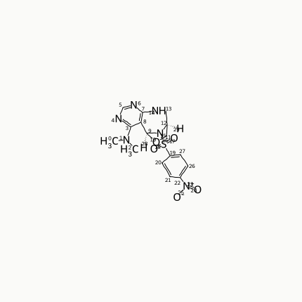 CN(C)c1ncnc2c1[C@@H]1OC[C@H](CN2)N1S(=O)(=O)c1ccc([N+](=O)[O-])cc1